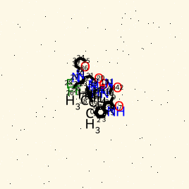 Cc1ccc2[nH]c(=O)c(C[C@H](NC(=O)[C@@H]3[C@@H]4[C@H](CN3C(=O)Cc3cc(C(F)(F)F)nn3C3CCCCO3)C4(C)C)C(N)=O)cc2c1